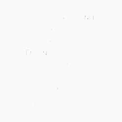 CCn1c(-c2ccccc2)cc2cc(N)ccc21